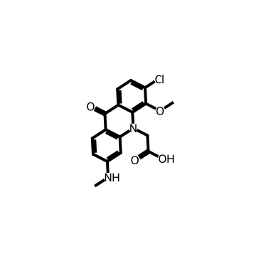 CNc1ccc2c(=O)c3ccc(Cl)c(OC)c3n(CC(=O)O)c2c1